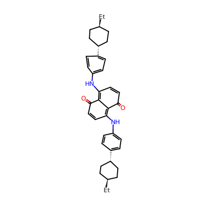 CC[C@H]1CC[C@H](c2ccc(NC3=C4C(=O)C=CC(Nc5ccc([C@H]6CC[C@H](CC)CC6)cc5)=C4C(=O)C=C3)cc2)CC1